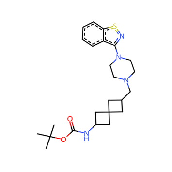 CC(C)(C)OC(=O)NC1CC2(CC(CN3CCN(c4nsc5ccccc45)CC3)C2)C1